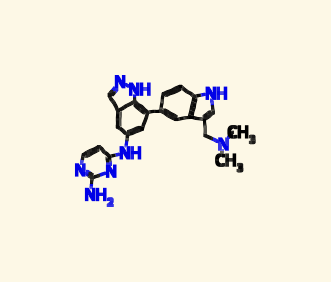 CN(C)Cc1c[nH]c2ccc(-c3cc(Nc4ccnc(N)n4)cc4cn[nH]c34)cc12